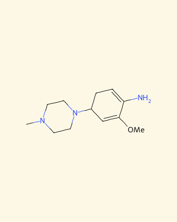 COC1=CC(N2CCN(C)CC2)CC=C1N